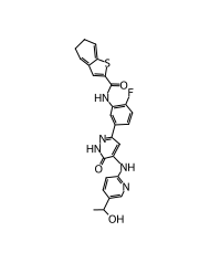 CC(O)c1ccc(Nc2cc(-c3ccc(F)c(NC(=O)c4cc5c(s4)=CCCC=5)c3)n[nH]c2=O)nc1